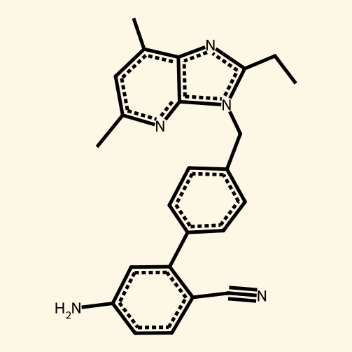 CCc1nc2c(C)cc(C)nc2n1Cc1ccc(-c2cc(N)ccc2C#N)cc1